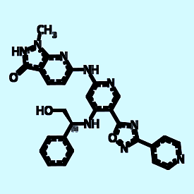 Cn1[nH]c(=O)c2ccc(Nc3cc(N[C@H](CO)c4ccccc4)c(-c4nc(-c5ccncc5)no4)cn3)nc21